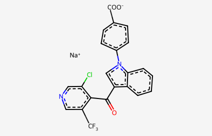 O=C([O-])c1ccc(-n2cc(C(=O)c3c(Cl)cncc3C(F)(F)F)c3ccccc32)cc1.[Na+]